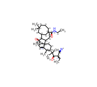 C/C=C(/C#N)C(=O)C(C)(C)[C@@H]1CCC(C)(C2CCC3(C(=O)NCC)CCCC(C)(C)CC(C3)C2C(C)=O)/C(=C\C)C1C